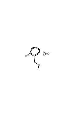 [B+2]c1ccccc1COC.[OH-].[OH-]